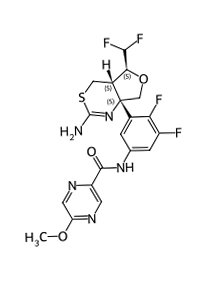 COc1cnc(C(=O)Nc2cc(F)c(F)c([C@]34CO[C@H](C(F)F)[C@H]3CSC(N)=N4)c2)cn1